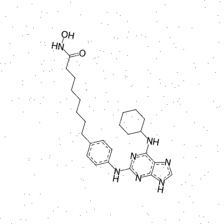 O=C(CCCCCCCc1ccc(Nc2nc(NC3CCCCC3)c3nc[nH]c3n2)cc1)NO